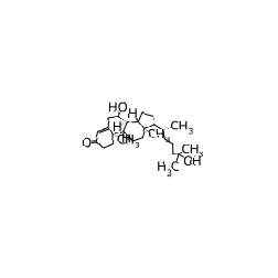 C[C@H](CCCC(C)(C)O)[C@H]1CC[C@H]2[C@@H]3[C@H](O)CC4=CC(=O)CC[C@]4(C)[C@H]3CC[C@]12C